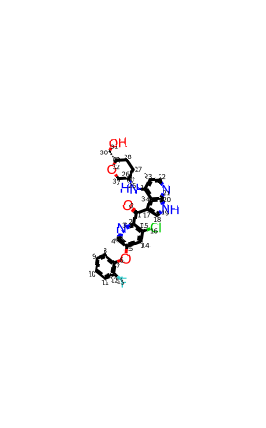 O=C(c1ncc(Oc2ccccc2F)cc1Cl)c1c[nH]c2nccc(N[C@@H]3CC[C@@H](CO)OC3)c12